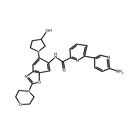 Nc1ccc(-c2cccc(C(=O)Nc3cc4oc(N5CCOCC5)nc4cc3N3CCC(O)C3)n2)cn1